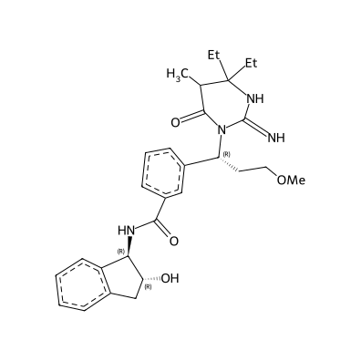 CCC1(CC)NC(=N)N([C@H](CCOC)c2cccc(C(=O)N[C@@H]3c4ccccc4C[C@H]3O)c2)C(=O)C1C